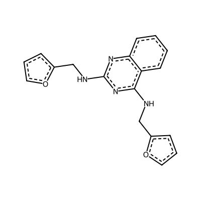 c1coc(CNc2nc(NCc3ccco3)c3ccccc3n2)c1